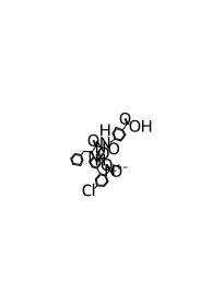 O=C(O)c1ccc(C(=O)NNC(=O)C(Cc2ccccc2)n2ccc(-c3cc(Cl)ccc3[N+](=O)[O-])cc2=O)cc1